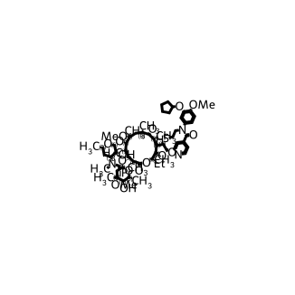 CC[C@H]1OC(=O)[C@H](C)[C@@H](O[C@H]2C[C@@](C)(OC)[C@@H](O)[C@H](C)O2)[C@H](C)[C@@H](O[C@@H]2O[C@H](C)C[C@H](N(C)CC(C)C)[C@H]2O)[C@](C)(OC)C[C@@H](C)C(=O)[C@H](C)[C@H]2[C@H](SCCN(C(=O)c3ccncc3)c3ccc(OC)c(OC4CCCC4)c3)C(=O)O[C@@]21C